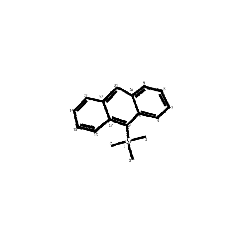 C[Si](C)(C)c1c2ccccc2cc2ccccc12